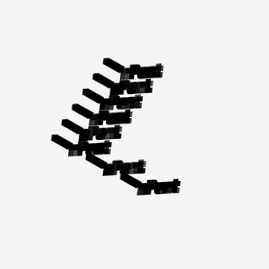 CCCCCC.CCCCCC.CCCCCC.CCCCCC.CCCCCC.CCCCCC.CCCCCC.CCCCCC